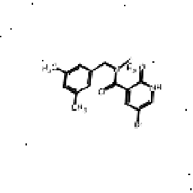 Cc1cc(C)cc(CN(C)C(=O)c2cc(Br)c[nH]c2=O)c1